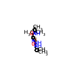 Cc1cc(C)c(NC(=O)c2ccc3nc(NC(=O)NCC4CCCC(C)(C)C4)sc3c2)c(C)c1